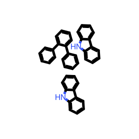 c1ccc(-c2ccccc2-c2ccccc2)cc1.c1ccc2c(c1)[nH]c1ccccc12.c1ccc2c(c1)[nH]c1ccccc12